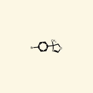 CC1(c2ccc(Br)cc2)CO[C]=N1